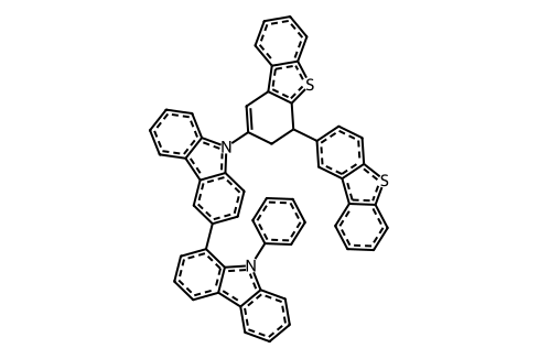 C1=C(n2c3ccccc3c3cc(-c4cccc5c6ccccc6n(-c6ccccc6)c45)ccc32)CC(c2ccc3sc4ccccc4c3c2)c2sc3ccccc3c21